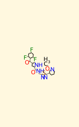 CCOc1ncccc1-c1nnc(CNC(=O)c2cc(C(=O)c3c(F)cc(F)cc3F)c[nH]2)s1